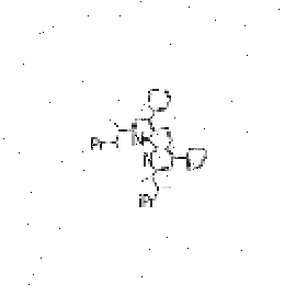 CC(C)C(C)C(C)c1cc(-c2ccccc2)c2ccc3c(-c4ccccc4)cc(C(C)C(C)C(C)C)nc3c2n1